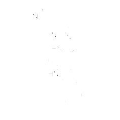 CC(C)Oc1cc2[nH]c(=O)c([C@H](C)Nc3nccc(-c4cnoc4)n3)cc2cc1Cl